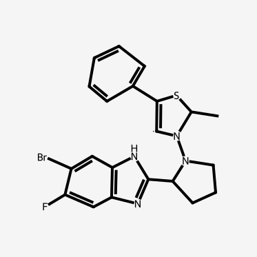 CC1SC(c2ccccc2)=[C]N1N1CCCC1c1nc2cc(F)c(Br)cc2[nH]1